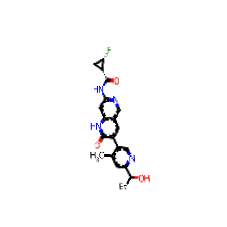 CCC(O)c1cc(C)c(-c2cc3cnc(NC(=O)[C@@H]4C[C@@H]4F)cc3[nH]c2=O)cn1